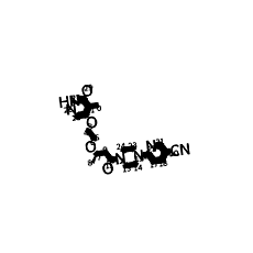 Cc1c(OCCO[C@H](C)CC(=O)N2CCN(c3ccc(C#N)cn3)CC2)cn[nH]c1=O